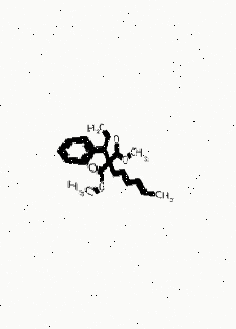 C=CC(c1ccccc1)C(C/C=C/C=C/C)(C(=O)OC)C(=O)OC